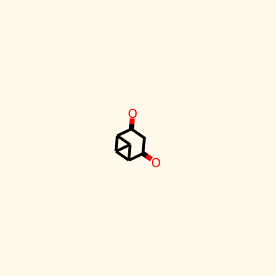 O=C1CC(=O)C2C3C1C23